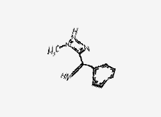 Cn1[nH]nc1C(=N)c1ccccc1